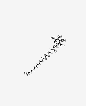 CCCCCC=CCC=CCCCCCCCC(=O)OC[C@H]1O[C@H](O)[C@H](O)[C@@H](O)[C@@H]1O